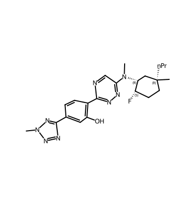 CCC[C@]1(C)CC[C@H](F)[C@H](N(C)c2cnc(-c3ccc(-c4nnn(C)n4)cc3O)nn2)C1